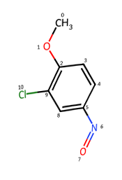 COc1ccc(N=O)cc1Cl